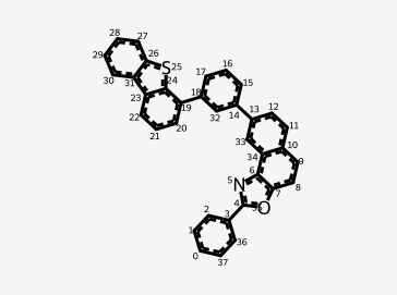 c1ccc(-c2nc3c(ccc4ccc(-c5cccc(-c6cccc7c6sc6ccccc67)c5)cc43)o2)cc1